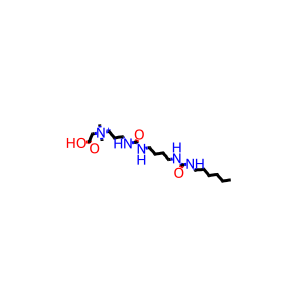 CCCCCCNC(=O)NCCCCNC(=O)NCCC[N+](C)(C)CC(=O)O